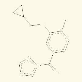 Cc1ccc(C(=O)n2cncn2)cc1OCC1CC1